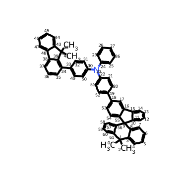 CC1(C)c2ccccc2C2(c3ccccc3-c3cc(-c4ccc(N(c5ccccc5)c5ccc(-c6cccc7c6C(C)(C)c6ccccc6-7)cc5)cc4)ccc32)c2ccccc21